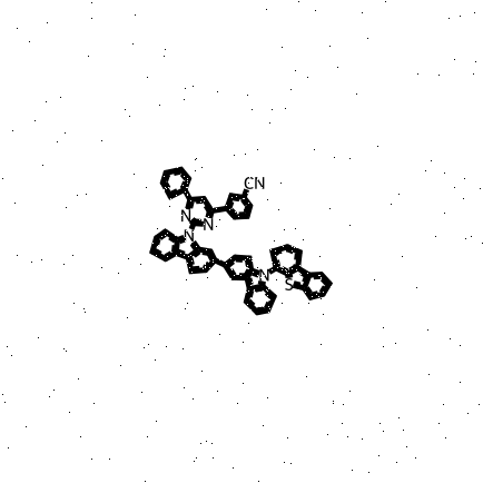 N#Cc1cccc(-c2cc(-c3ccccc3)nc(-n3c4ccccc4c4ccc(-c5ccc6c(c5)c5ccccc5n6-c5cccc6c5sc5ccccc56)cc43)n2)c1